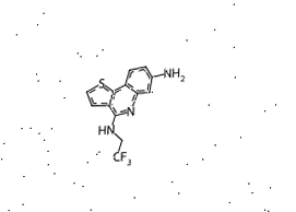 Nc1ccc2c(c1)nc(NCC(F)(F)F)c1ccsc12